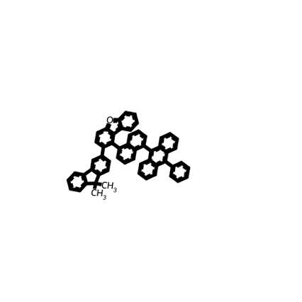 CC1(C)c2ccccc2-c2cc(-c3ccc4oc5ccccc5c4c3-c3cccc4c(-c5c6ccccc6c(-c6ccccc6)c6ccccc56)cccc34)ccc21